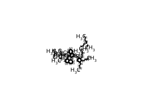 CCCCP(CC)CCCC.CCCCc1ccc(PC)c(CCCC)c1CCCC.CCCP(CC)CCC.CCP(C)C.CP(c1cccc2ccccc12)c1cccc2ccccc12